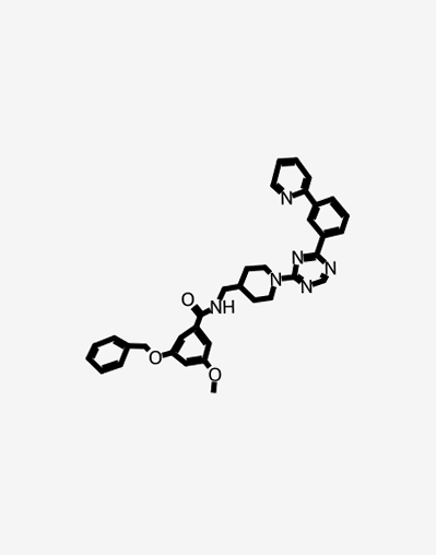 COc1cc(OCc2ccccc2)cc(C(=O)NCC2CCN(c3ncnc(-c4cccc(-c5ccccn5)c4)n3)CC2)c1